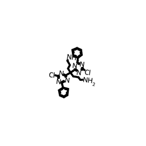 NCCCC(CCCN)(c1nc(Cl)nc(-c2ccccc2)n1)c1nc(Cl)nc(-c2ccccc2)n1